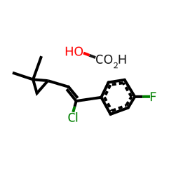 CC1(C)CC1C=C(Cl)c1ccc(F)cc1.O=C(O)O